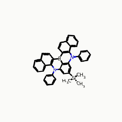 C[Si](C)(C)c1cc2c3c(c1)N(c1ccccc1)c1c(ccc4ccccc14)B3c1ccc3ccccc3c1N2c1ccccc1